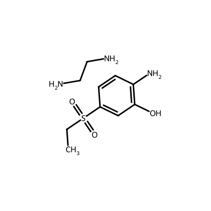 CCS(=O)(=O)c1ccc(N)c(O)c1.NCCN